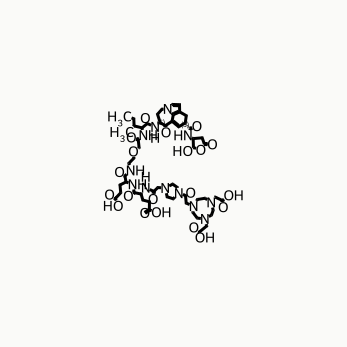 CCC(C)C(NC(=O)COCCNC(=O)C(CCC(=O)O)NC(=O)C(CCC(=O)O)NC(=O)CN1CCN(C(=O)CN2CCN(CC(=O)O)CCN(CC(=O)O)CC2)CC1)C(=O)N[C@H]1CCn2ccc3c2C(=C[C@@H](C(=O)NC2CC(=O)OC2O)C3)C1=O